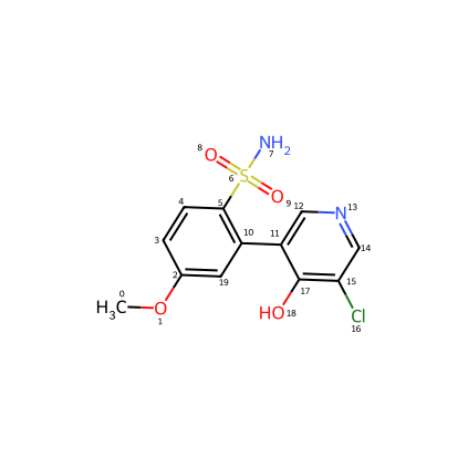 COc1ccc(S(N)(=O)=O)c(-c2cncc(Cl)c2O)c1